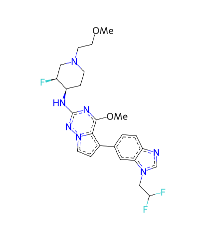 COCCN1CC[C@@H](Nc2nc(OC)c3c(-c4ccc5ncn(CC(F)F)c5c4)ccn3n2)[C@@H](F)C1